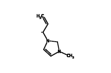 C=C[CH]N1C=CN(C)C1